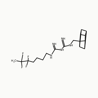 CC(F)(F)C(F)(F)CCCCNC(=N)NC(=N)NCC12C3C4C5C3C1C5C42